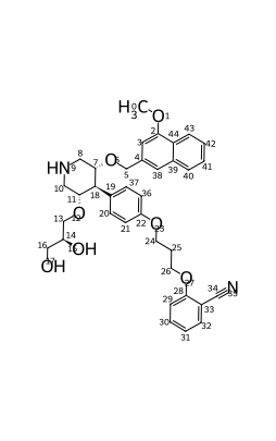 COc1cc(CO[C@H]2CNC[C@@H](OC[C@@H](O)CO)[C@@H]2c2ccc(OCCCOc3ccccc3C#N)cc2)cc2ccccc12